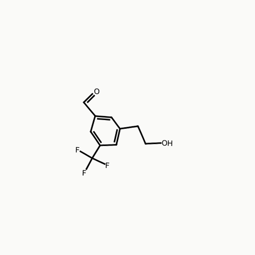 O=Cc1cc(CCO)cc(C(F)(F)F)c1